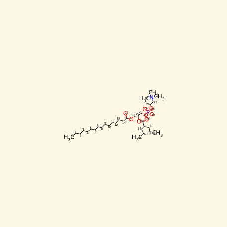 CCCCCCCCCCCCCCCC(=O)OC[C@H](COP(=O)([O-])OCC[N+](C)(C)C)OC(=O)C(CCC)CCC